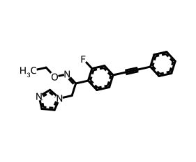 CCO/N=C(\Cn1ccnc1)c1ccc(C#Cc2ccccc2)cc1F